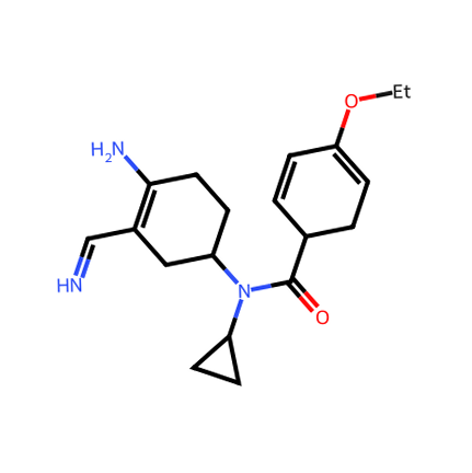 CCOC1=CCC(C(=O)N(C2CC2)C2CCC(N)=C(C=N)C2)C=C1